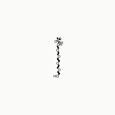 CS(=O)(=O)O.OCCOCCOCCOCCOCCO